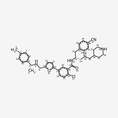 Cc1ccc([C@@H](C)NCc2ccc(-c3ccc(Cl)c(C(=O)N[C@@H](CNCC4CCNCC4)Cc4ccc(C#N)cc4)c3)o2)cc1